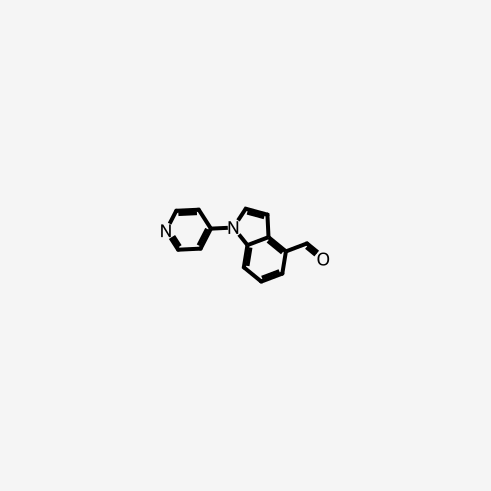 O=Cc1cccc2c1ccn2-c1ccncc1